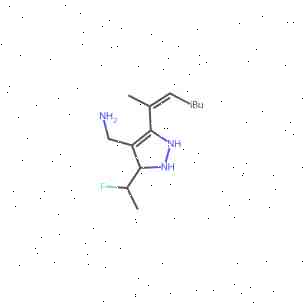 CCC(C)/C=C(/C)C1=C(CN)C(C(C)F)NN1